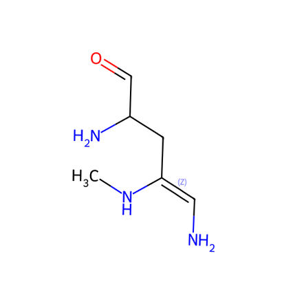 CN/C(=C\N)CC(N)C=O